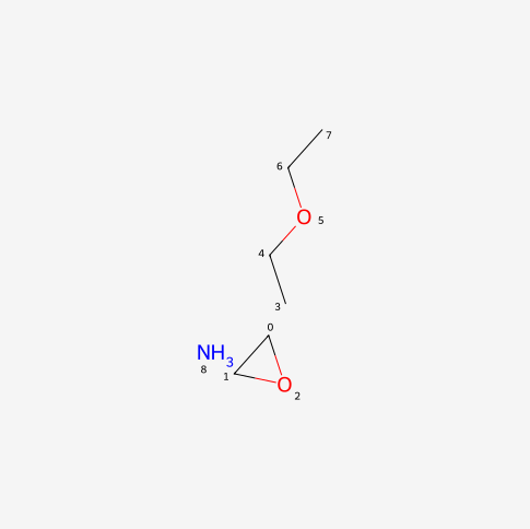 C1CO1.CCOCC.N